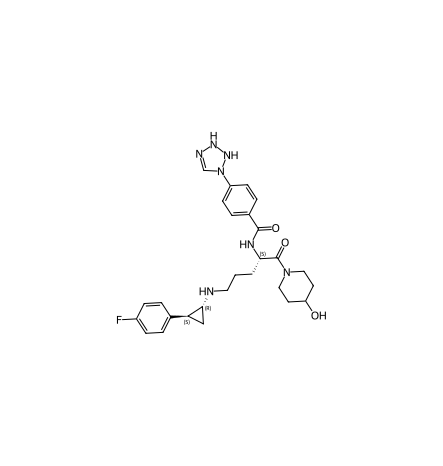 O=C(N[C@@H](CCCN[C@@H]1C[C@H]1c1ccc(F)cc1)C(=O)N1CCC(O)CC1)c1ccc(N2C=NNN2)cc1